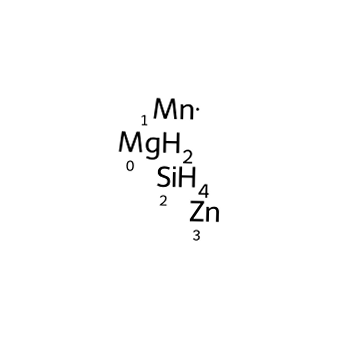 [MgH2].[Mn].[SiH4].[Zn]